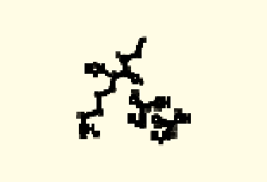 CCOC(=O)[C@@H](N)CCCCN.NC(=O)O.NC(=O)O